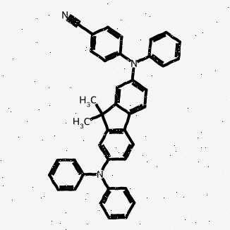 CC1(C)c2cc(N(c3ccccc3)c3ccccc3)ccc2-c2ccc(N(c3ccccc3)c3ccc(C#N)cc3)cc21